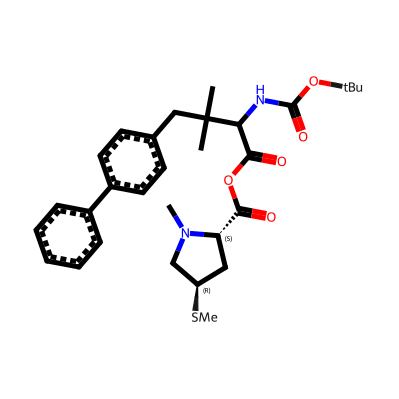 CS[C@@H]1C[C@@H](C(=O)OC(=O)C(NC(=O)OC(C)(C)C)C(C)(C)Cc2ccc(-c3ccccc3)cc2)N(C)C1